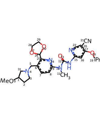 COC1CCN(Cc2ccc(N(C)C(=O)Nc3cc(OC(C)C)c(C#N)cn3)nc2C2OCCO2)C1